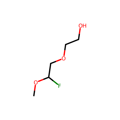 COC(F)COCCO